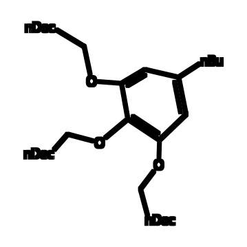 [CH2]CCCc1cc(OCCCCCCCCCCC)c(OCCCCCCCCCCC)c(OCCCCCCCCCCC)c1